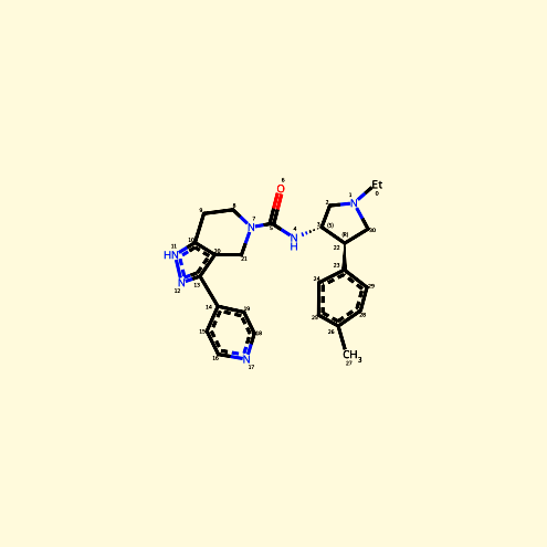 CCN1C[C@@H](NC(=O)N2CCc3[nH]nc(-c4ccncc4)c3C2)[C@H](c2ccc(C)cc2)C1